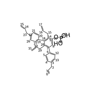 C=CCc1ccc(-c2cc(OP(O)O)c(CC=C)c(-c3ccc(CC=C)cc3)c2CC=C)cc1